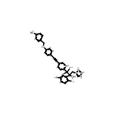 N#Cc1ccc(COc2ccc(C#Cc3ccc(C(F)(F)C(O)(Cn4cnnn4)c4cc(F)ccc4F)nc3)cc2)cc1